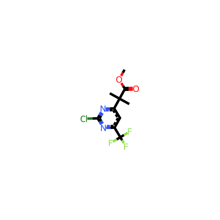 COC(=O)C(C)(C)c1cc(C(F)(F)F)nc(Cl)n1